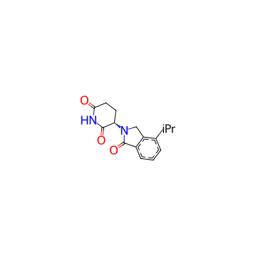 CC(C)c1cccc2c1CN([C@@H]1CCC(=O)NC1=O)C2=O